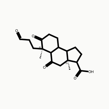 C[C@]12CC(=O)C3C(CCC(=O)[C@]3(C)CCC=O)C1CCC2C(=O)O